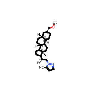 CCOC[C@H]1CC[C@@H]2C3CC[C@]4(C)C([C@@H](CC)Cn5nccc5C#N)CCC4[C@@H]3CC[C@@H]2C1